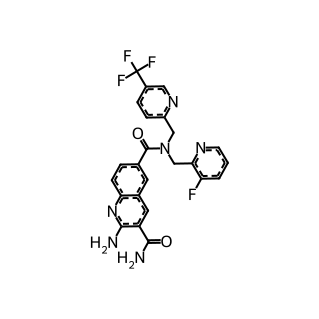 NC(=O)c1cc2cc(C(=O)N(Cc3ccc(C(F)(F)F)cn3)Cc3ncccc3F)ccc2nc1N